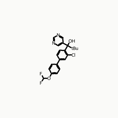 CC(C)(C)C(O)(c1cncnc1)c1ccc(-c2ccc(OC(F)F)cc2)cc1Cl